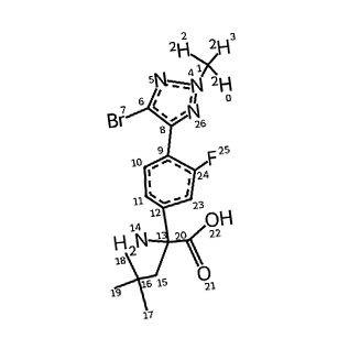 [2H]C([2H])([2H])n1nc(Br)c(-c2ccc(C(N)(CC(C)(C)C)C(=O)O)cc2F)n1